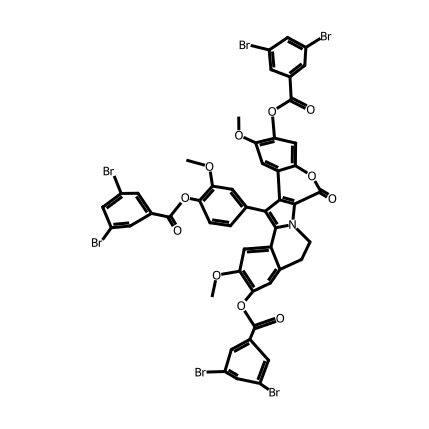 COc1cc(-c2c3n(c4c(=O)oc5cc(OC(=O)c6cc(Br)cc(Br)c6)c(OC)cc5c24)CCc2cc(OC(=O)c4cc(Br)cc(Br)c4)c(OC)cc2-3)ccc1OC(=O)c1cc(Br)cc(Br)c1